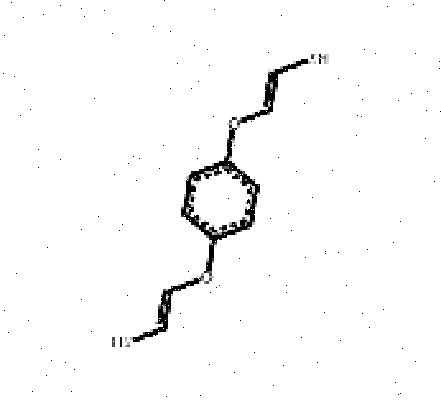 SC=COc1ccc(OC=CS)cc1